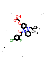 CC(C)CN(c1ccc(OCC(=O)O)cc1NC(=O)Cc1ccc(Cl)cc1F)C1CCCCC1